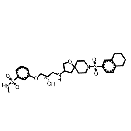 CNS(=O)(=O)c1cccc(OC[C@@H](O)CNC2COC3(CCN(S(=O)(=O)c4ccc5c(c4)CCCC5)CC3)C2)c1